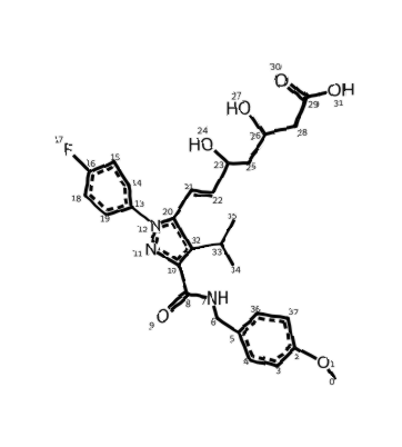 COc1ccc(CNC(=O)c2nn(-c3ccc(F)cc3)c(/C=C/C(O)CC(O)CC(=O)O)c2C(C)C)cc1